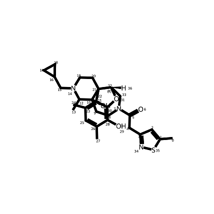 Cc1cc(CC(=O)N2CCC3(O)C(C)N(CC4CC4)CCC34c3c(C)cc(C)c(O)c3O[C@H]4C2)ns1